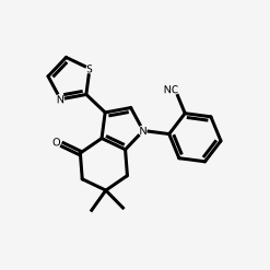 CC1(C)CC(=O)c2c(-c3nccs3)cn(-c3ccccc3C#N)c2C1